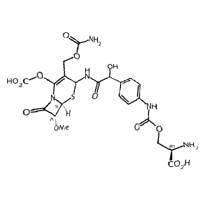 CO[C@@H]1C(=O)N2C(OC(=O)O)=C(COC(N)=O)C(NC(=O)C(O)c3ccc(NC(=O)OC[C@@H](N)C(=O)O)cc3)S[C@@H]12